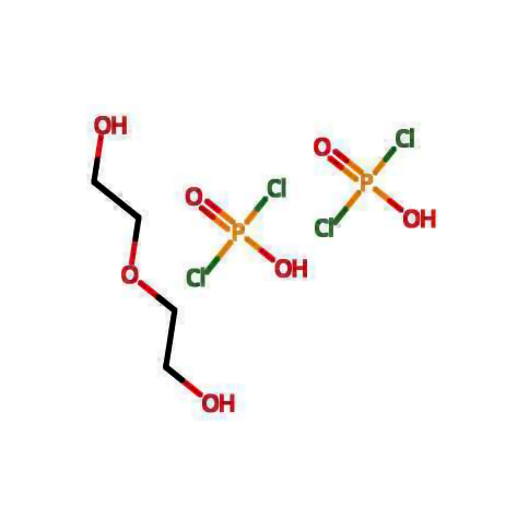 O=P(O)(Cl)Cl.O=P(O)(Cl)Cl.OCCOCCO